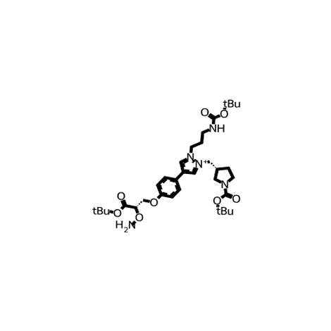 CC(C)(C)OC(=O)NCCCn1cc(-c2ccc(OC[C@H](ON)C(=O)OC(C)(C)C)cc2)c[n+]1C[C@@H]1CCN(C(=O)OC(C)(C)C)C1